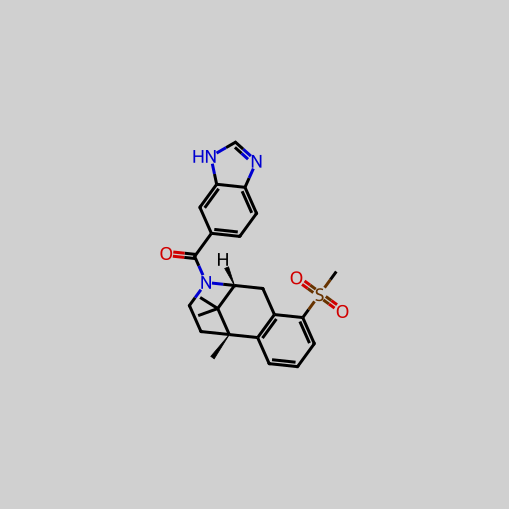 CC1(C)[C@H]2Cc3c(cccc3S(C)(=O)=O)[C@]1(C)CCN2C(=O)c1ccc2nc[nH]c2c1